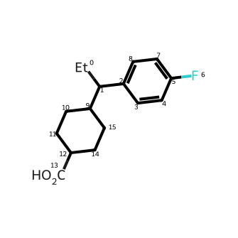 CCC(c1ccc(F)cc1)C1CCC(C(=O)O)CC1